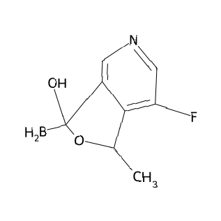 BC1(O)OC(C)c2c(F)cncc21